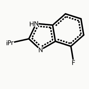 CC(C)c1nc2c(F)cccc2[nH]1